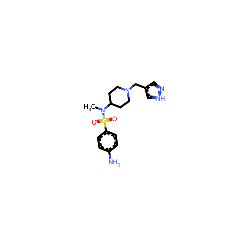 CN(C1CCN(Cc2cn[nH]c2)CC1)S(=O)(=O)c1ccc(N)cc1